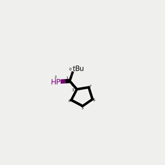 CC(C)(C)C(=P)C1CCCC1